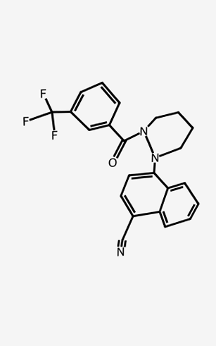 N#Cc1ccc(N2CCCCN2C(=O)c2cccc(C(F)(F)F)c2)c2ccccc12